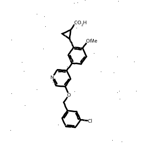 COc1ccc(-c2cncc(OCc3cccc(Cl)c3)c2)cc1C1CC1C(=O)O